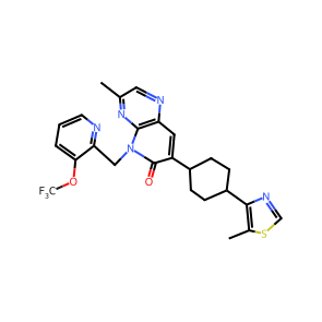 Cc1cnc2cc(C3CCC(c4ncsc4C)CC3)c(=O)n(Cc3ncccc3OC(F)(F)F)c2n1